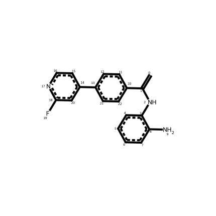 C=C(Nc1ccccc1N)c1ccc(-c2ccnc(F)c2)cc1